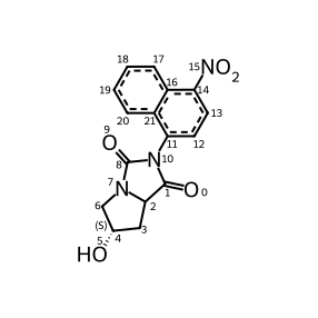 O=C1C2C[C@H](O)CN2C(=O)N1c1ccc([N+](=O)[O-])c2ccccc12